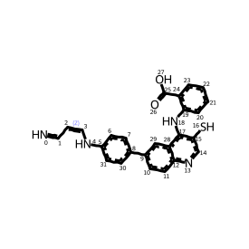 N=C/C=C\Nc1ccc(-c2ccc3ncc(S)c(Nc4ccccc4C(=O)O)c3c2)cc1